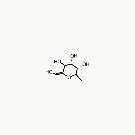 CC1O/C(=C/O)[C@@H](O)[C@H](O)[C@@H]1O